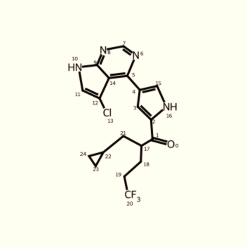 O=C(c1cc(-c2ncnc3[nH]cc(Cl)c23)c[nH]1)C(CCC(F)(F)F)CC1CC1